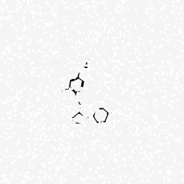 C[C@H]1CC[C@@H](N2SNC[C@H]2COc2ncc(OC(N)=O)cc2Br)OC1